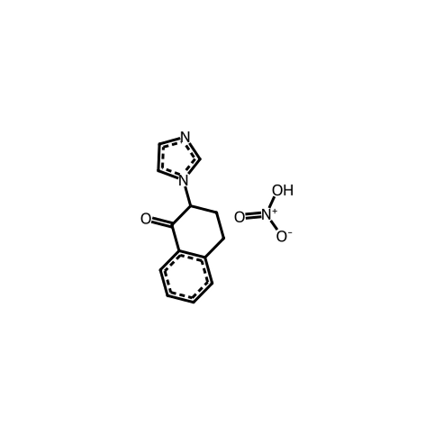 O=C1c2ccccc2CCC1n1ccnc1.O=[N+]([O-])O